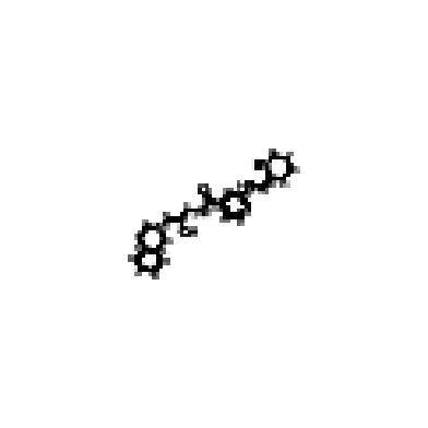 O=C(NCC(O)CN1CCc2ccccc2C1)c1ccnc(NCC2CCCCN2)c1